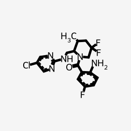 CC1CC(F)(F)CN(C(=O)c2cc(F)ccc2N)C1CNc1ncc(Cl)cn1